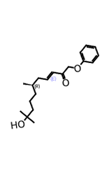 C[C@@H](C/C=C/C(=O)COc1ccccc1)CCCC(C)(C)O